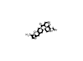 Cc1cnc(CC2CCN(C(=O)C(CC(C)C)N3CCN[C@@H](CC(C)C)C3=O)CC2)n1C